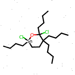 CCCCC1(CCCC)C[CH2][Sn]([Cl])([CH2]CCC)[O]C1(Cl)CCCC